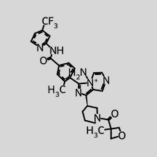 Cc1cc(C(=O)Nc2cc(C(F)(F)F)ccn2)ccc1C1=NC([C@@H]2CCCN(C(=O)C3(C)COC3)C2)=C2C=NC=C[N+]12N